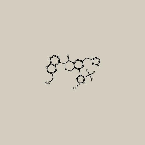 COc1cnc2nccc(N3CCc4c(cc(Cn5ccnc5)cc4-c4cn(C)nc4C(F)(F)F)C3=O)c2c1